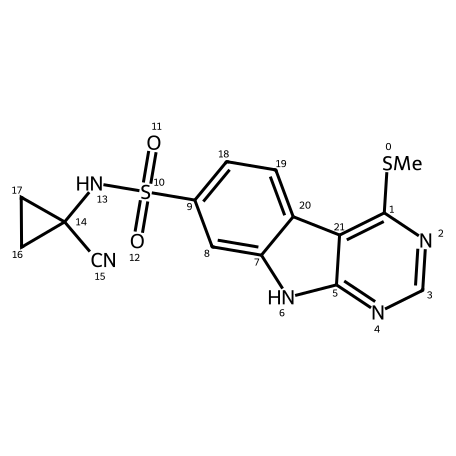 CSc1ncnc2[nH]c3cc(S(=O)(=O)NC4(C#N)CC4)ccc3c12